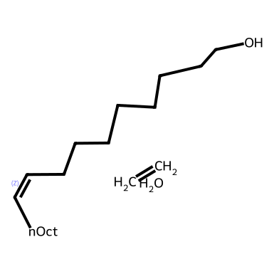 C=C.CCCCCCCC/C=C\CCCCCCCCO.O